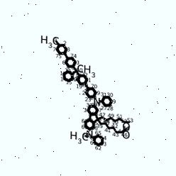 Cc1ccc(-c2ccc(C(C)(c3ccccc3)c3ccc(-c4ccc(N(c5ccccc5)c5ccc6c(c5)C(CCCCCC5CO5)(CCCCCC5CO5)c5cc(N(C)c7ccccc7)ccc5-6)cc4)cc3)cc2)cc1